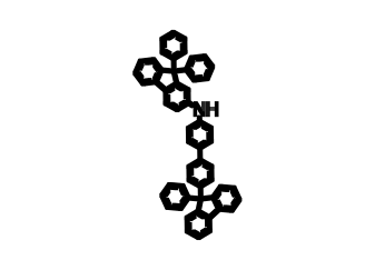 c1ccc(C2(c3ccc(-c4ccc(Nc5ccc6c(c5)C(c5ccccc5)(c5ccccc5)c5ccccc5-6)cc4)cc3)c3ccccc3-c3ccccc32)cc1